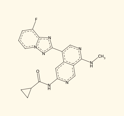 CNc1ncc(-c2nc3c(F)cccn3n2)c2cc(NC(=O)C3CC3)ncc12